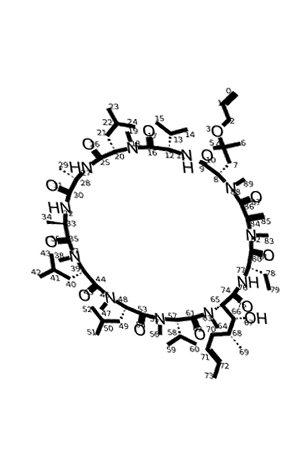 C=CCOC(C)(C)C[C@H]1C(=O)N[C@@H](C(C)C)C(=O)N(C)[C@@H](CC(C)C)C(=O)N[C@@H](C)C(=O)N[C@H](C)C(=O)N(C)[C@@H](CC(C)C)C(=O)N(C)[C@@H](CC(C)C)C(=O)N(C)[C@@H](C(C)C)C(=O)N(C)[C@@H]([C@H](O)[C@H](C)C/C=C/C)C(=O)N[C@@H](CC)C(=O)N(C)C(=C)C(=O)N1C